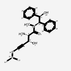 CN(C(=O)[C@@H](N)[C@H](O)C#CSP(I)I)[C@H](c1ccccc1)[C@H](O)c1ccccc1